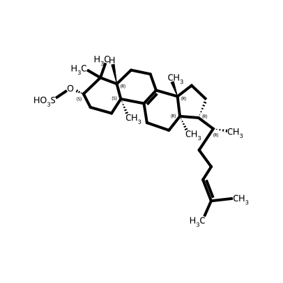 CC(C)=CCC[C@@H](C)[C@H]1CC[C@@]2(C)C3=C(CC[C@]12C)[C@@]1(C)CC[C@H](OS(=O)(=O)O)C(C)(C)[C@@H]1CC3